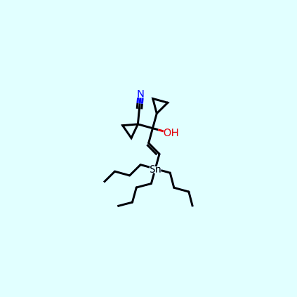 CCC[CH2][Sn](/[CH]=C/C(O)(C1CC1)C1(C#N)CC1)([CH2]CCC)[CH2]CCC